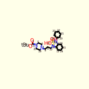 CC(C)(C)OC(=O)N1CCN(CCCN2c3ccccc3N(c3ccccc3)S2(O)O)CC1